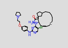 NC(=O)[C@H]1[C@H]2CCC(CCCCCCCC=CC[C@H]1Nc1nc(Nc3ccc(OCCN4CCCC4)cc3)ncc1Br)C2